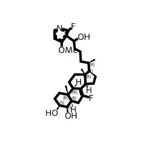 COc1ccnc(F)c1C(O)CCC[C@@H](C)[C@H]1CC[C@H]2C3=C(F)C[C@H]4[C@@H](O)[C@@H](O)CC[C@]4(C)[C@H]3CC[C@]12C